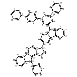 c1ccc(-c2ccc(-c3cc(-n4c5ccccc5c5cc(-n6ncc7c6ccc6c8ccccc8n(-c8ccccc8)c67)ccc54)nc(-c4ccccc4)n3)cc2)cc1